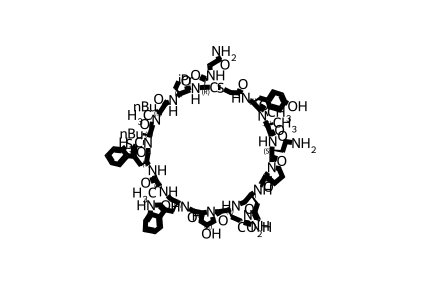 CCCC[C@H]1C(=O)N(C)[C@@H](CCCC)C(=O)N[C@@H](CC(C)C)C(=O)N[C@H](C(=O)NCC(N)=O)CSCC(=O)N[C@@H](Cc2ccc(O)cc2)C(=O)N(C)[C@@H](C)C(=O)N[C@@H](CC(N)=O)C(=O)N2CCC[C@H]2C(=O)N[C@@H](Cc2c[nH]cn2)C(=O)N[C@@H](CCC(=O)O)C(=O)N2C[C@H](O)C[C@H]2C(=O)N[C@@H](Cc2c[nH]c3ccccc23)C(=O)N[C@H](C)C(=O)N[C@@H](Cc2csc3ccccc23)C(=O)N1C